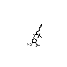 C=CCC/C=C(/SN1CC(O)C(N(C)C)C1)C(C)(C)C